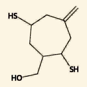 C=C1CC(S)CC(CO)C(S)C1